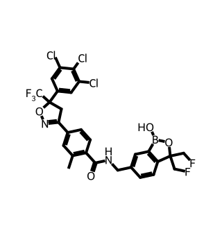 Cc1cc(C2=NOC(c3cc(Cl)c(Cl)c(Cl)c3)(C(F)(F)F)C2)ccc1C(=O)NCc1ccc2c(c1)B(O)OC2(CF)CF